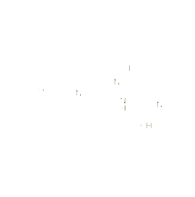 Cc1ccnc(C)c1Nc1nccc2c1ccn2CC1CCCO1